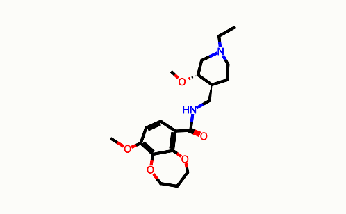 CCN1CC[C@@H](CNC(=O)c2ccc(OC)c3c2OCCCO3)[C@H](OC)C1